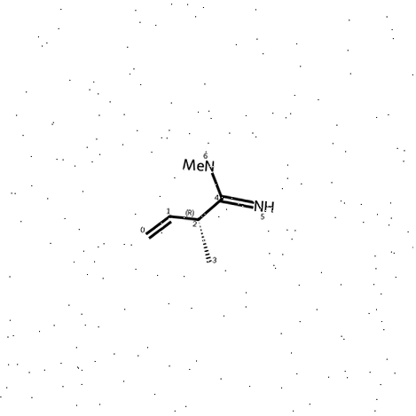 C=C[C@@H](C)C(=N)NC